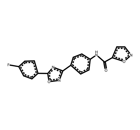 O=C(Nc1ccc(-c2noc(-c3ccc(F)cc3)n2)cc1)c1ccno1